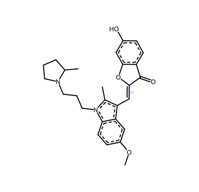 COc1ccc2c(c1)c(/C=C1\Oc3cc(O)ccc3C1=O)c(C)n2CCCN1CCCC1C